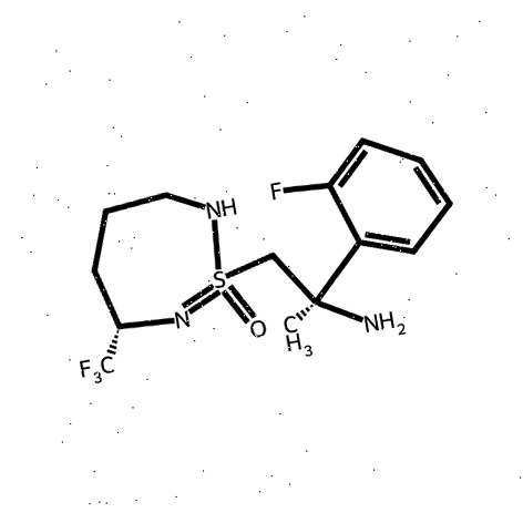 C[C@](N)(CS1(=O)=N[C@H](C(F)(F)F)CCCN1)c1ccccc1F